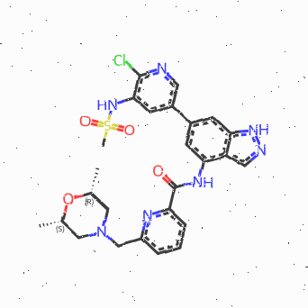 C[C@@H]1CN(Cc2cccc(C(=O)Nc3cc(-c4cnc(Cl)c(NS(C)(=O)=O)c4)cc4[nH]ncc34)n2)C[C@H](C)O1